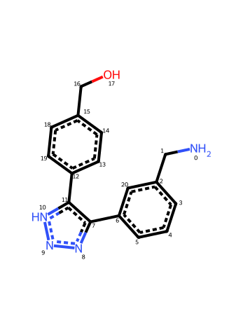 NCc1cccc(-c2nn[nH]c2-c2ccc(CO)cc2)c1